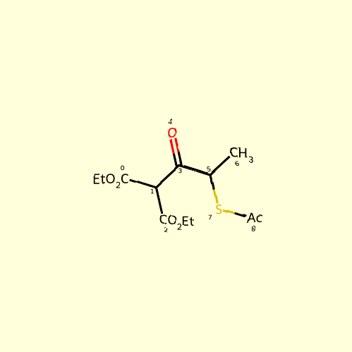 CCOC(=O)C(C(=O)OCC)C(=O)C(C)SC(C)=O